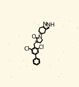 O=C1[C@H](Cc2c(Cl)cc(-c3ccccc3)cc2Cl)CCN1[C@H]1CCc2n[nH]cc2C1